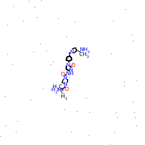 CC(N)[C@H]1CCN(Cc2ccc(-n3ccc(NC(=O)N4CCN(C(=O)C(C)(C)N)CC4)nc3=O)cc2)C1